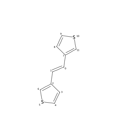 C(=C\c1ccsc1)/c1ccsc1